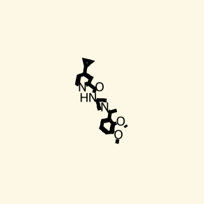 COc1cccc(C(C)N2CC(NC(=O)c3cc(C4CC4)ccn3)C2)c1OC